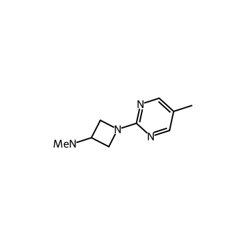 CNC1CN(c2ncc(C)cn2)C1